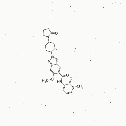 COc1cc2nn(C3CCC(N4CCCC4=O)CC3)cc2cc1C(=O)Nc1cccn(C)c1=O